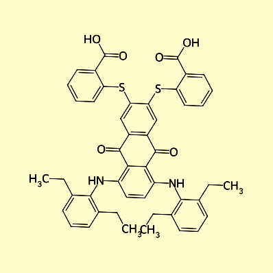 CCc1cccc(CC)c1Nc1ccc(Nc2c(CC)cccc2CC)c2c1C(=O)c1cc(Sc3ccccc3C(=O)O)c(Sc3ccccc3C(=O)O)cc1C2=O